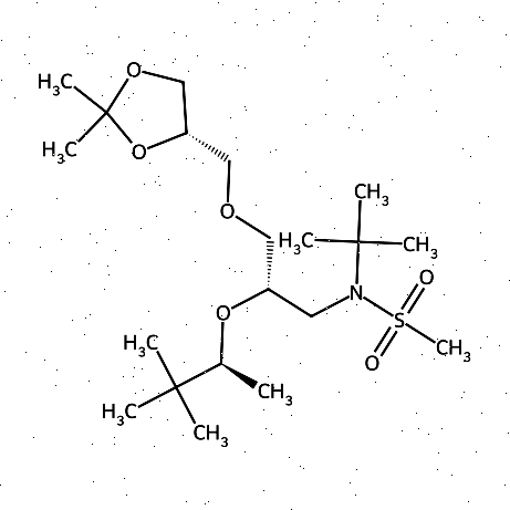 C[C@H](O[C@H](COC[C@H]1COC(C)(C)O1)CN(C(C)(C)C)S(C)(=O)=O)C(C)(C)C